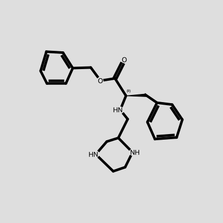 O=C(OCc1ccccc1)[C@@H](Cc1ccccc1)NCC1CNCCN1